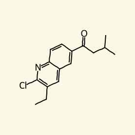 CCc1cc2cc(C(=O)CC(C)C)ccc2nc1Cl